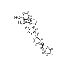 CC1CN2CCN(Cc3cccc(OCc4ccccc4)c3)CC2CC1(C)c1cccc(O)c1